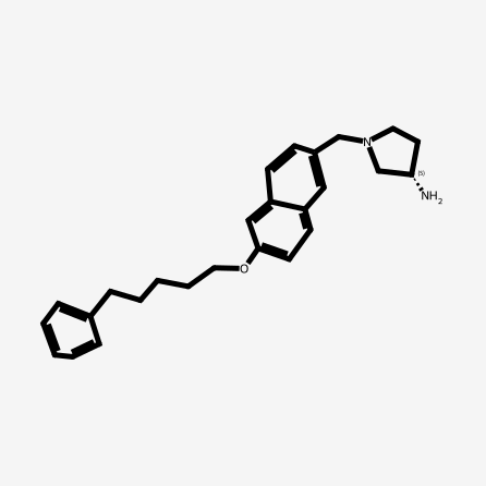 N[C@H]1CCN(Cc2ccc3cc(OCCCCCc4ccccc4)ccc3c2)C1